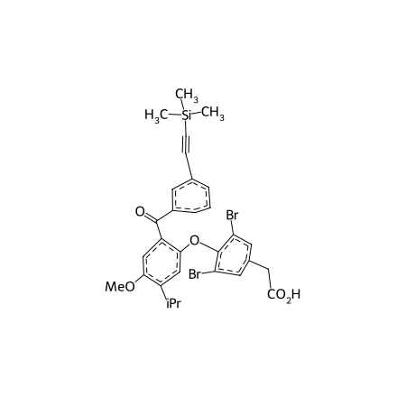 COc1cc(C(=O)c2cccc(C#C[Si](C)(C)C)c2)c(Oc2c(Br)cc(CC(=O)O)cc2Br)cc1C(C)C